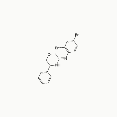 Brc1ccc(N=C2COCC(c3ccccc3)N2)c(Br)c1